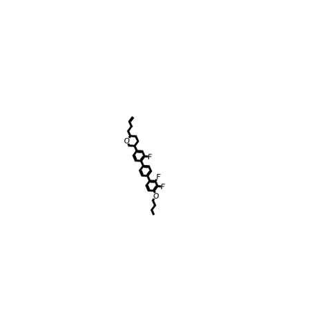 C=CCCC1CCC(c2ccc(-c3ccc(-c4ccc(OCCCC)c(F)c4F)cc3)c(F)c2)CO1